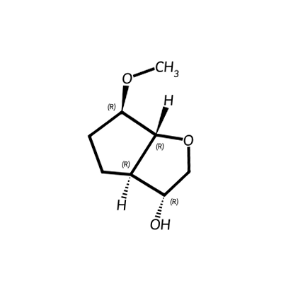 CO[C@@H]1CC[C@H]2[C@H]1OC[C@@H]2O